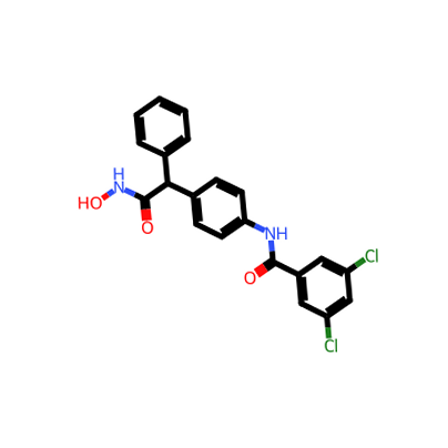 O=C(Nc1ccc(C(C(=O)NO)c2ccccc2)cc1)c1cc(Cl)cc(Cl)c1